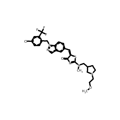 COCCN1CCC(CN(C)C2=NC(=O)C(=Cc3ccc4c(cnn4Cc4ccc(Cl)cc4C(F)(F)F)c3)S2)C1